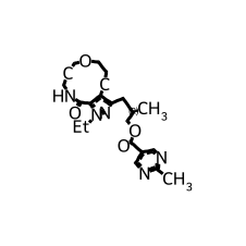 CCn1nc(C[C@@H](C)COC(=O)c2cnc(C)nc2)c2c1C(=O)NCCCOCCC2